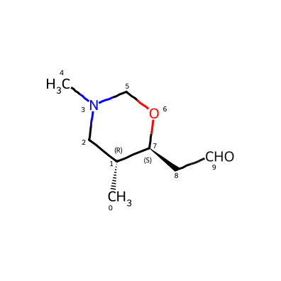 C[C@@H]1CN(C)CO[C@H]1CC=O